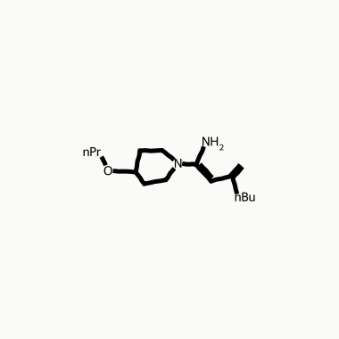 C=C(/C=C(\N)N1CCC(OCCC)CC1)CCCC